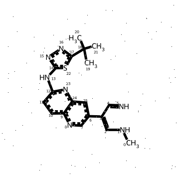 CN/C=C(\C=N)c1cnc2ccc(Nc3nnc(C(C)(C)C)s3)nc2c1